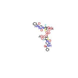 CC(C)(C)OC(=O)O[C@H]1[C@H](F)[C@H](n2ccc(NC(=O)c3ccccc3)nc2=O)S[C@@H]1COC(=O)OC[C@H]1S[C@@H](n2ccc(NC(=O)c3ccccc3)nc2=O)[C@@H](F)[C@@H]1OC(=O)OC(C)(C)C